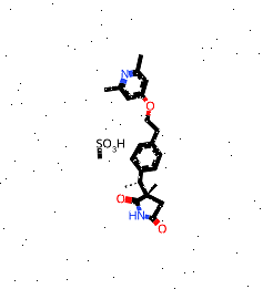 CS(=O)(=O)O.Cc1cc(OCCc2ccc([C@@H](C)[C@]3(C)CC(=O)NC3=O)cc2)cc(C)n1